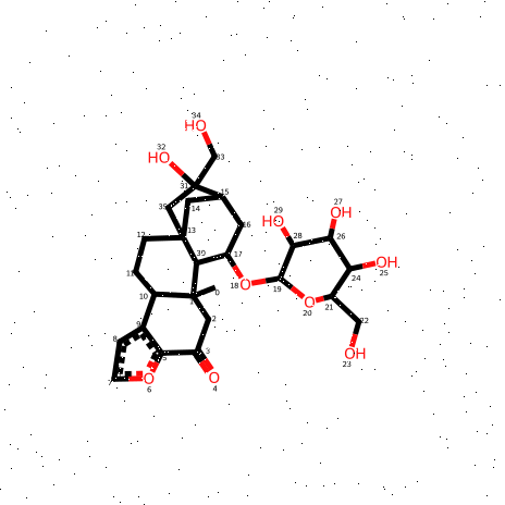 CC12CC(=O)c3occc3C1CCC13CC(CC(OC4OC(CO)C(O)C(O)C4O)C12)C(O)(CO)C3